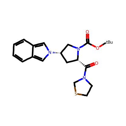 CC(C)(C)OC(=O)N1C[C@@H](n2cc3ccccc3c2)C[C@H]1C(=O)N1CCSC1